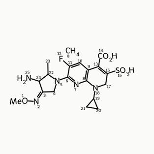 C.CON=C1CN(c2nc3c(cc2F)C(C(=O)O)=C(S(=O)(=O)O)CN3C2CC2)C(C)C1N